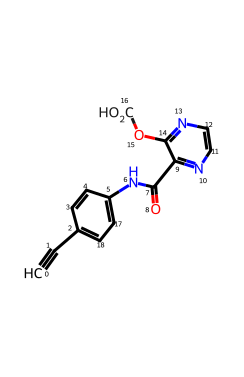 C#Cc1ccc(NC(=O)c2nccnc2OC(=O)O)cc1